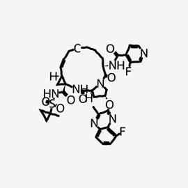 Cc1nc2cccc(F)c2nc1O[C@@H]1C[C@H]2C(=O)N[C@]3(C(=O)NS(=O)(=O)C4(C)CC4)C[C@H]3C=CCCCCC[C@H](NC(=O)c3ccncc3F)C(=O)N2C1